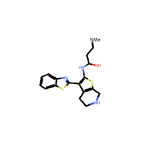 CNCCC(O)Nc1sc2c(c1-c1nc3ccccc3s1)CCNC2